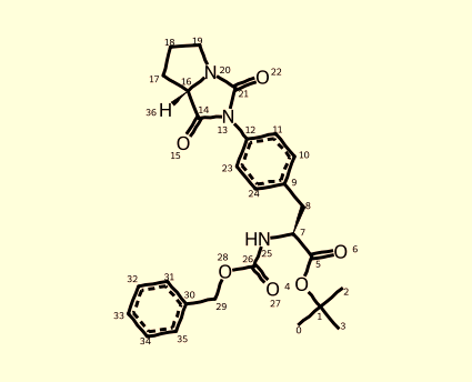 CC(C)(C)OC(=O)[C@H](Cc1ccc(N2C(=O)[C@@H]3CCCN3C2=O)cc1)NC(=O)OCc1ccccc1